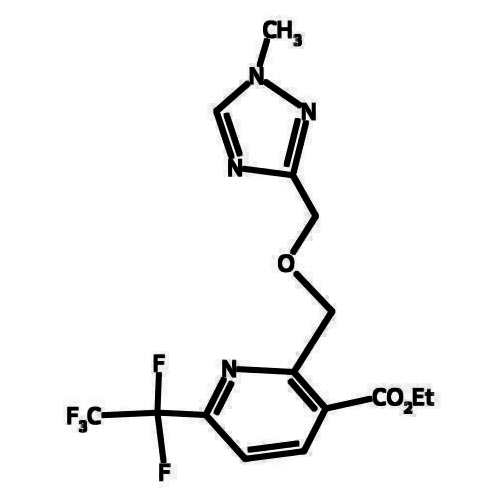 CCOC(=O)c1ccc(C(F)(F)C(F)(F)F)nc1COCc1ncn(C)n1